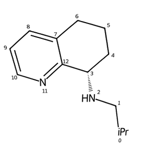 CC(C)CN[C@H]1CCCc2cccnc21